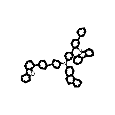 c1ccc(-c2ccc(-c3ccc(N(c4ccc(-c5ccc(-c6cccc7c6oc6ccccc67)cc5)cc4)c4ccc5c(ccc6ccccc65)c4)cc3)c(-n3c4ccccc4c4ccccc43)c2)cc1